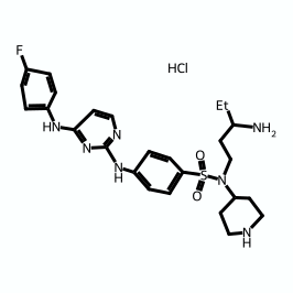 CCC(N)CCN(C1CCNCC1)S(=O)(=O)c1ccc(Nc2nccc(Nc3ccc(F)cc3)n2)cc1.Cl